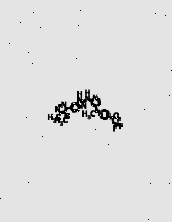 COc1c(C)ncnc1-c1ccc2nc(Nc3cc(C(C)N4CCN(C(=O)CC(F)(F)F)CC4)ccn3)[nH]c2c1